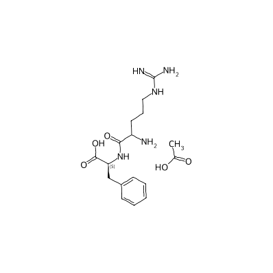 CC(=O)O.N=C(N)NCCCC(N)C(=O)N[C@@H](Cc1ccccc1)C(=O)O